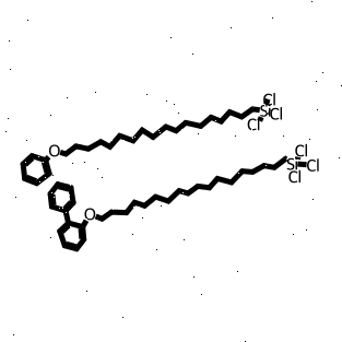 Cl[Si](Cl)(Cl)CCCCCCCCCCCCCCCCCCOc1ccccc1.Cl[Si](Cl)(Cl)CCCCCCCCCCCCCCCCCCOc1ccccc1-c1ccccc1